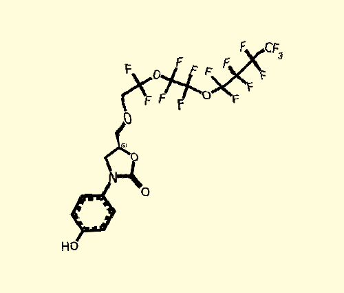 O=C1O[C@H](COCC(F)(F)OC(F)(F)C(F)(F)OC(F)(F)C(F)(F)C(F)(F)C(F)(F)F)CN1c1ccc(O)cc1